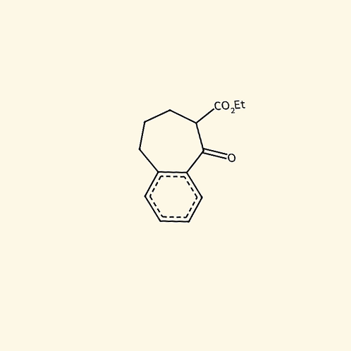 CCOC(=O)C1CCCc2ccccc2C1=O